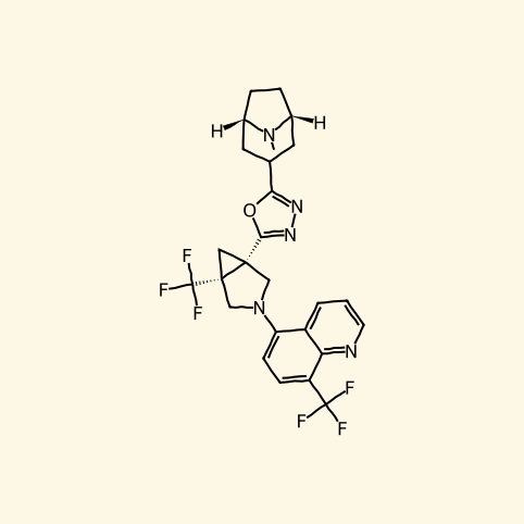 CN1[C@@H]2CC[C@H]1CC(c1nnc([C@]34CN(c5ccc(C(F)(F)F)c6ncccc56)C[C@@]3(C(F)(F)F)C4)o1)C2